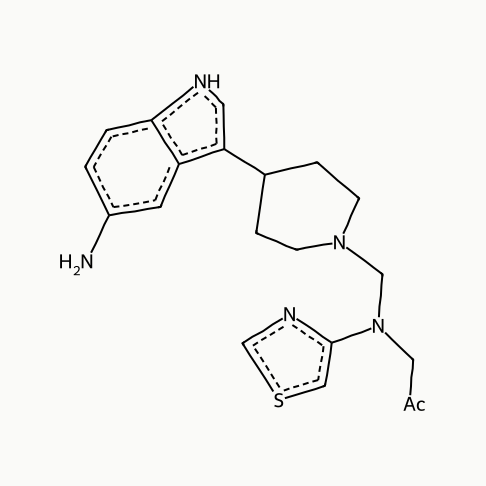 CC(=O)CN(CN1CCC(c2c[nH]c3ccc(N)cc23)CC1)c1cscn1